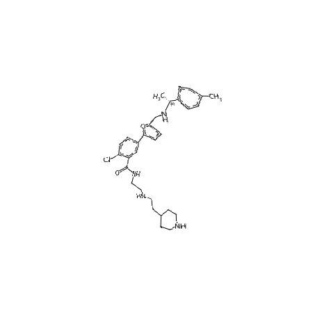 Cc1ccc([C@@H](C)NCc2ccc(-c3ccc(Cl)c(C(=O)NCCNCCC4CCNCC4)c3)o2)cc1